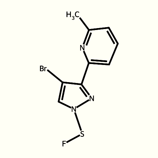 Cc1cccc(-c2nn(SF)cc2Br)n1